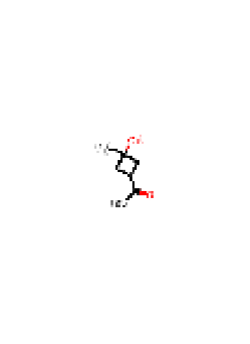 CC1(O)CC(C(=O)C(C)(C)C)C1